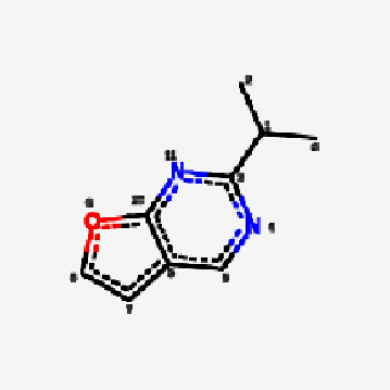 CC(C)c1ncc2ccoc2n1